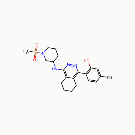 CS(=O)(=O)N1CCCC(Nc2nnc(-c3ccc(C#N)cc3O)c3c2CCCC3)C1